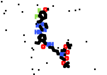 CCc1cc(Nc2nccn3c(-c4ccc(OC)c(F)c4F)cnc23)ccc1C(=O)NCCCCC[N+](C)(CC(=O)OC(C)(C)C)CC(=O)OC(C)(C)C